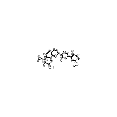 COc1cc(-c2cnc(C3CCc4ccc([C@H](C5CC5)[C@H](C)C(=O)O)cc4O3)c(C)n2)c(C)cn1